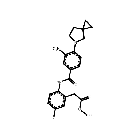 CC(C)(C)OC(=O)Cc1cc(F)ccc1NC(=O)c1ccc(N2CCC3(CC3)C2)c([N+](=O)[O-])c1